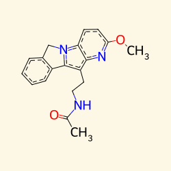 COc1ccc2c(n1)c(CCNC(C)=O)c1n2Cc2ccccc2-1